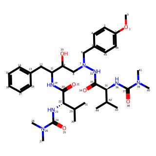 COc1ccc(CN(CC(O)C(Cc2ccccc2)NC(=O)[C@@H](NC(=O)N(C)C)C(C)C)NC(=O)[C@@H](NC(=O)N(C)C)C(C)C)cc1